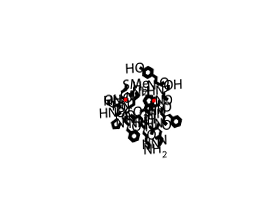 CSCC[C@H](NC(=O)[C@H](CO)NC(=O)[C@@H]1CCCN1C(=O)[C@H](Cc1ccccc1)NC(=O)[C@H](Cc1c[nH]c2ccccc12)NC(=O)[C@H](CCCCN)NC(=O)[C@H](Cc1c[nH]cn1)NC(=O)[C@H](Cc1ccccc1)NC(=O)[C@@H]1CCCN1C(=O)[C@H](CO)NC(=O)[C@@H](N)Cc1ccc(O)cc1)C(=O)N[C@@H](Cc1c[nH]cn1)C(=O)O